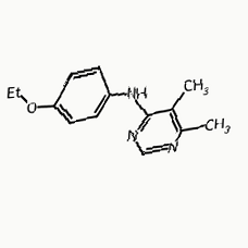 CCOc1ccc(Nc2ncnc(C)c2C)cc1